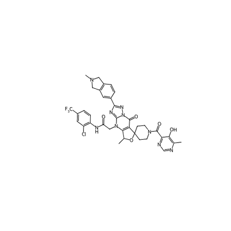 Cc1ncnc(C(=O)N2CCC3(CC2)OC(C)c2c3c(=O)n3nc(-c4ccc5c(c4)CN(C)C5)nc3n2CC(=O)Nc2ccc(C(F)(F)F)cc2Cl)c1O